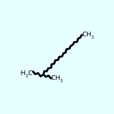 [CH2]CCCCC(CCCC)CCCCCCCCCCCCCCCCCCCCCC